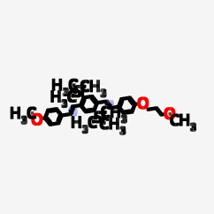 COCCCOc1ccc(/C=C/c2cc([Si](C)(C)C)c(/C=C/c3ccc(OC)cc3)cc2[Si](C)(C)C)cc1